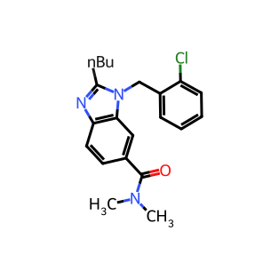 CCCCc1nc2ccc(C(=O)N(C)C)cc2n1Cc1ccccc1Cl